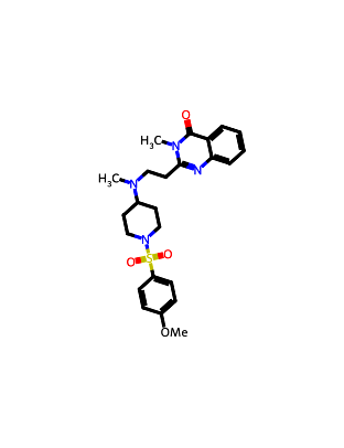 COc1ccc(S(=O)(=O)N2CCC(N(C)CCc3nc4ccccc4c(=O)n3C)CC2)cc1